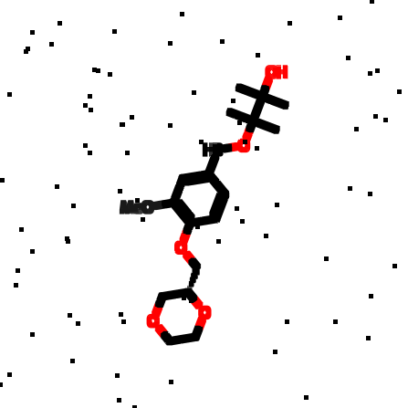 COc1cc(BOC(C)(C)C(C)(C)O)ccc1OC[C@H]1COCCO1